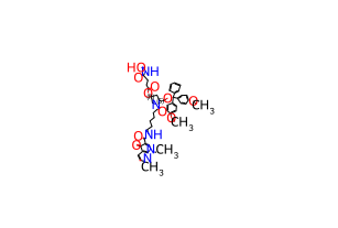 CCn1cc(C(=O)NCCCCCC(=O)N2C[C@H](OC(=O)CCC(=O)NO)C[C@H]2COC(c2ccccc2)(c2ccc(OC)cc2)c2ccc(OC)cc2)c(=O)c2ccc(C)nc21